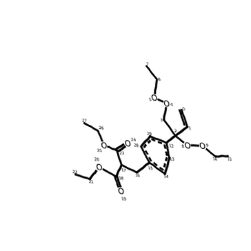 C=CC(COOCC)(OOCC)c1ccc(CC(C(=O)OCC)C(=O)OCC)cc1